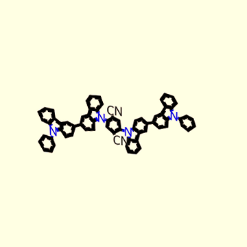 N#Cc1cc(-n2c3ccccc3c3cc(-c4ccc5c(c4)c4ccccc4n5-c4ccccc4)ccc32)c(C#N)cc1-n1c2ccccc2c2cc(-c3ccc4c(c3)c3ccccc3n4-c3ccccc3)ccc21